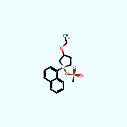 CS(=O)(=O)OS1(c2cccc3ccccc23)CCC(OCC(F)(F)F)C1